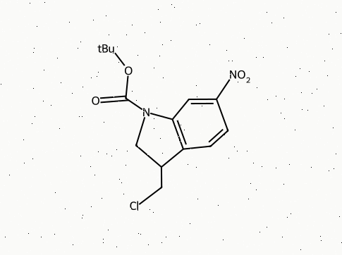 CC(C)(C)OC(=O)N1CC(CCl)c2ccc([N+](=O)[O-])cc21